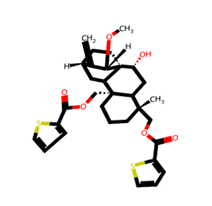 C=C1[C@H]2CC[C@]3(C(C2)[C@]2(COC(=O)c4cccs4)CCC[C@@](C)(COC(=O)c4cccs4)C2C[C@H]3O)[C@H]1OC